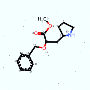 COC(=O)C(CC1CCCN1)OCc1ccccc1